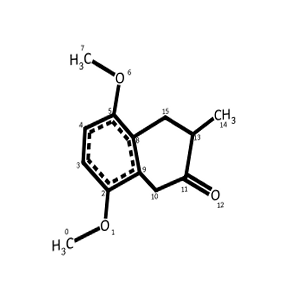 COc1ccc(OC)c2c1CC(=O)C(C)C2